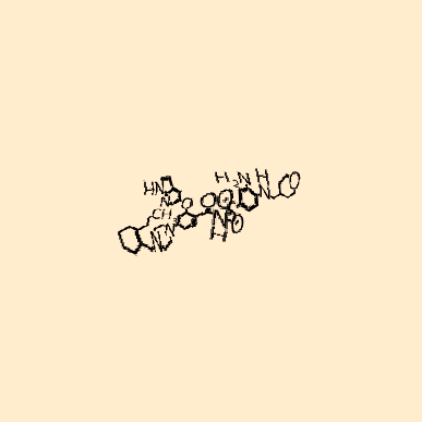 CCCC1=C(CN2CCN(c3ccc(C(=O)NS(=O)(=O)c4ccc(NCC5CCOCC5)c(N)c4)c(Oc4cnc5[nH]ccc5c4)c3)CC2)CCCC1